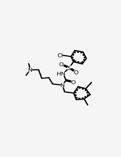 Cc1cc(C)cc(CN(CCCCN(C)C)C(=O)NS(=O)(=O)c2ccccc2Cl)c1